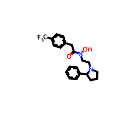 O=C(Cc1ccc(C(F)(F)F)cc1)N(O)CCN1CCCC1c1ccccc1